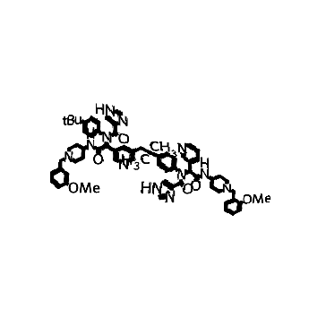 COc1cccc(CN2CCC(NC(=O)C(c3cncc(CC(C)(C)c4ccc(N(C(=O)c5c[nH]cn5)C(C(=O)NC5CCN(Cc6ccccc6OC)CC5)c5cccnc5)cc4)c3)N(C(=O)c3c[nH]cn3)c3ccc(C(C)(C)C)cc3)CC2)c1